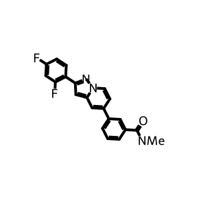 CNC(=O)c1cccc(-c2ccn3nc(-c4ccc(F)cc4F)cc3c2)c1